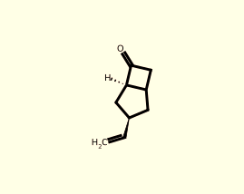 C=C[C@@H]1CC2CC(=O)[C@@H]2C1